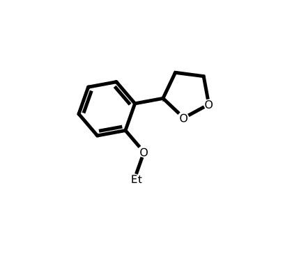 CCOc1ccccc1[C]1CCOO1